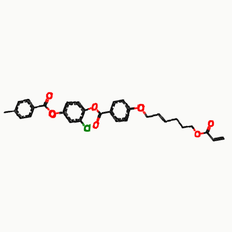 C=CC(=O)OCCCCCCOc1ccc(C(=O)Oc2ccc(OC(=O)c3ccc(C)cc3)cc2Cl)cc1